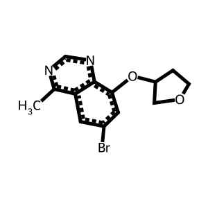 Cc1ncnc2c(OC3CCOC3)cc(Br)cc12